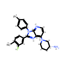 CC(C)c1ccc(-n2c(-c3ccc(C#N)c(F)c3)nc3c(N4CCC[C@@H](N)C4)ccnc32)cc1